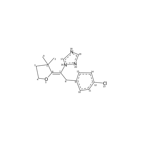 CC1(C)CCOC1=C(Cc1ccc(Cl)cc1)n1cncn1